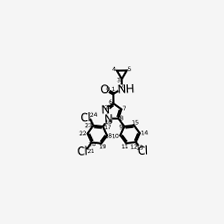 O=C(NC1CC1)c1cc(-c2ccc(Cl)cc2)n(-c2ccc(Cl)cc2Cl)n1